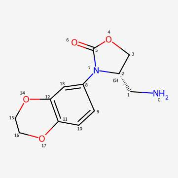 NC[C@H]1COC(=O)N1c1ccc2c(c1)OCCO2